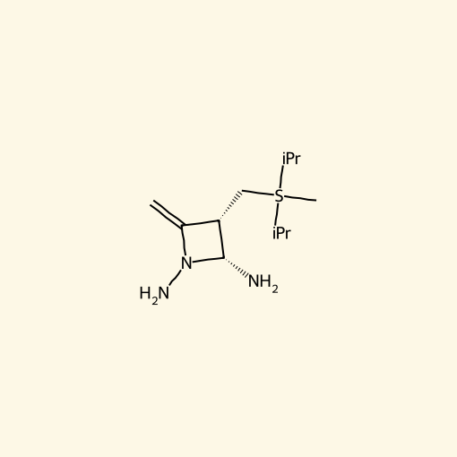 C=C1[C@H](CS(C)(C(C)C)C(C)C)[C@H](N)N1N